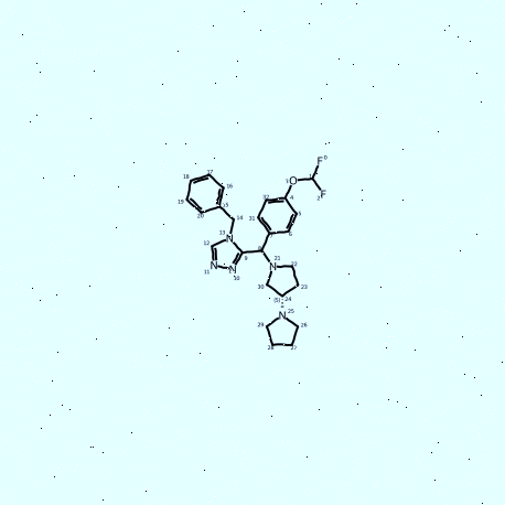 FC(F)Oc1ccc(C(c2nncn2Cc2ccccc2)N2CC[C@H](N3CCCC3)C2)cc1